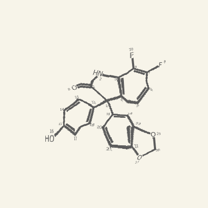 O=C1Nc2c(ccc(F)c2F)C1(c1ccc(O)cc1)c1ccc2c(c1)OCO2